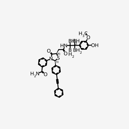 BC(B)(NC(=O)C[C@H]1S[C@@H](c2ccc(C#Cc3ccccc3)cc2)N(c2cccc(C(N)=O)c2)C1=O)C(B)(B)c1ccc(O)c(OC)c1